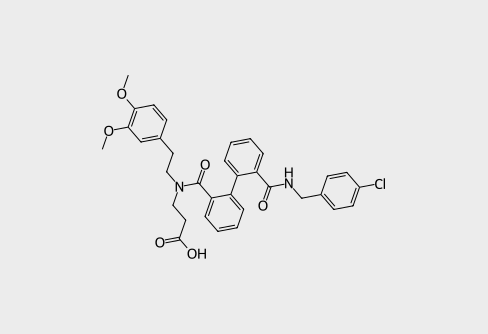 COc1ccc(CCN(CCC(=O)O)C(=O)c2ccccc2-c2ccccc2C(=O)NCc2ccc(Cl)cc2)cc1OC